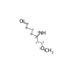 COCCC(=N)CCCC=O